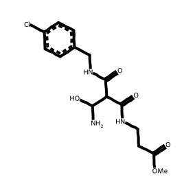 COC(=O)CCNC(=O)C(C(=O)NCc1ccc(Cl)cc1)C(N)O